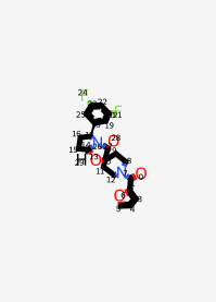 O=C(c1ccco1)N1CCC2(CC1)O[C@@H]1CC[C@@H](c3cc(F)cc(F)c3)N1C2=O